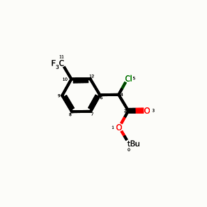 CC(C)(C)OC(=O)C(Cl)c1cccc(C(F)(F)F)c1